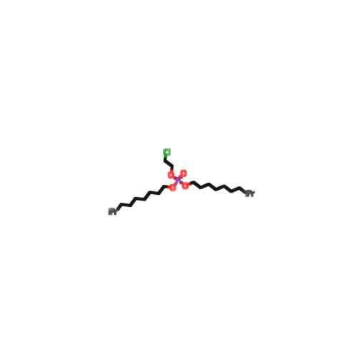 CC(C)CCCCCCCOP(=O)(OCCCl)OCCCCCCCC(C)C